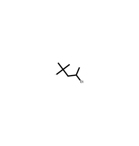 [CH2]C(C)(C)CC(C)CC